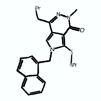 CCCSc1c2c(=O)n(C)nc(CC(C)C)c2cn1Cc1cccc2ccccc12